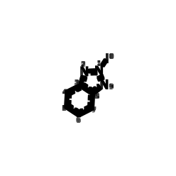 In1nc2ccccc2n1